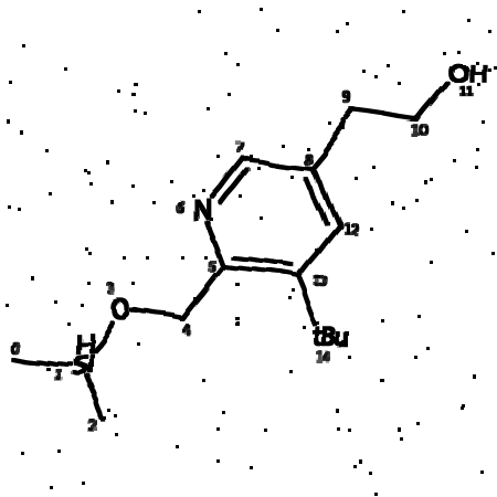 C[SiH](C)OCc1ncc(CCO)cc1C(C)(C)C